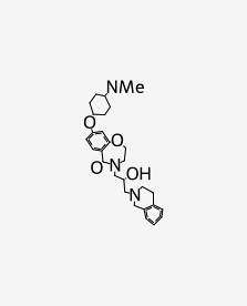 CNC1CCC(Oc2ccc3c(c2)OCCN(C[C@H](O)CN2CCc4ccccc4C2)C3=O)CC1